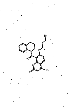 CCCc1cc(=O)oc2c(C(=O)N3CCCc4ccccc43)c(OCCCBr)ccc12